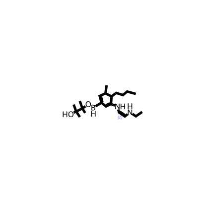 CCCCC1C(N/C=C\NCC)=CC(BOC(C)(C)C(C)(C)O)=CC1C